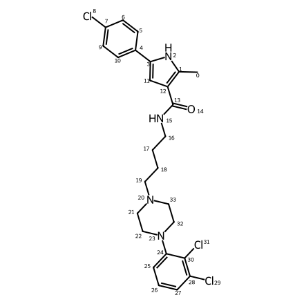 Cc1[nH]c(-c2ccc(Cl)cc2)cc1C(=O)NCCCCN1CCN(c2cccc(Cl)c2Cl)CC1